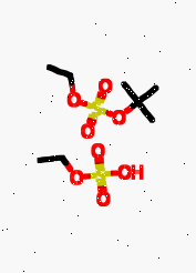 CCOS(=O)(=O)O.CCOS(=O)(=O)OC(C)(C)C